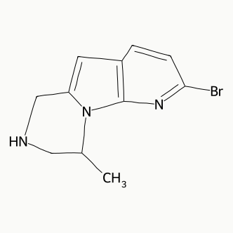 CC1CNCc2cc3ccc(Br)nc3n21